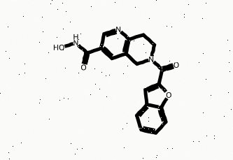 O=C(NO)c1cnc2c(c1)CN(C(=O)c1cc3ccccc3o1)CC2